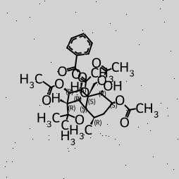 CC(=O)OC[C@]12[C@H](OC(=O)c3ccccc3)[C@H](OC(C)=O)[C@@H]3[C@@H](OC(C)=O)[C@]1(OC3(C)C)[C@H](C)C[C@H](OC(C)=O)[C@@H]2O